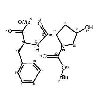 COC(=O)[C@H](Cc1ccccc1)NC(=O)[C@@H]1CC(O)CN1C(=O)OC(C)(C)C